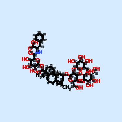 C=C1CC23CCC[C@H]4[C@@](C)(CCC[C@@]4(C)C(=O)OC4O[C@H](C(=O)N[C@H](Cc5ccccc5)C(=O)O)[C@@H](O)[C@H](O)[C@H]4O)[C@@H]2CC(O[C@@H]2O[C@H](CO)[C@@H](O)C(O[C@@H]4O[C@H](CO)[C@@H](O)[C@H](O)[C@H]4O)[C@H]2O[C@@H]2O[C@H](CO)[C@@H](O)[C@H](O)[C@H]2O)C1C3